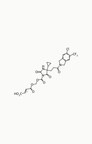 O=C(O)/C=C/C(=O)OCOC(=O)N1C(=O)NC(CCC(=O)N2Cc3cc(Cl)c(C(F)(F)F)cc3C2)(C2CC2)C1=O